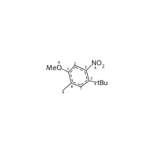 COc1cc([N+](=O)[O-])c(C(C)(C)C)cc1C